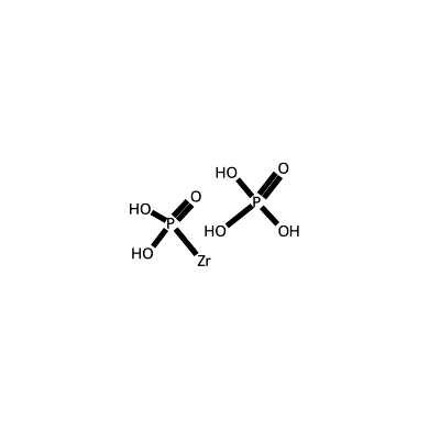 O=P(O)(O)O.O=[P](O)(O)[Zr]